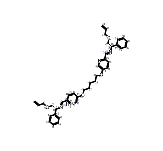 C=CCOC[C@H](/N=C/C(=C)/C=C\C(=C/N)OCCCCCOc1ccc(/C=N/[C@@H](COCC=C)c2ccccc2)nc1)c1ccccc1